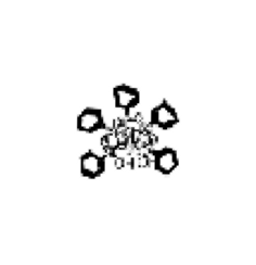 C[Si](O)(O[Si](C)(O[Si](C)(O[Si](C)(O[Si](C)(O)c1ccccc1)c1ccccc1)c1ccccc1)c1ccccc1)c1ccccc1